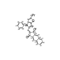 CC(C)c1cc2c(nc(C=C3C(=O)c4cc5ccccc5cc4C3=O)n2-c2ccccc2)o1